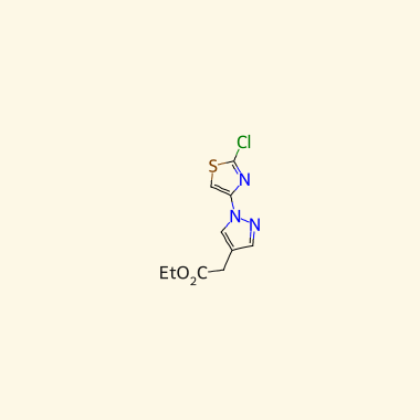 CCOC(=O)Cc1cnn(-c2csc(Cl)n2)c1